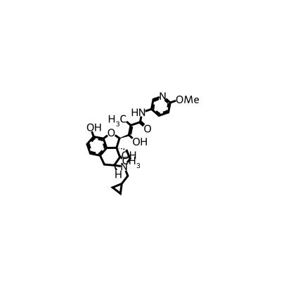 COc1ccc(NC(=O)/C(C)=C(\O)[C@@H]2Oc3c(O)ccc4c3[C@@]23CCN(CC2CC2)[C@H](C4)[C@@]3(C)O)cn1